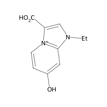 CCn1cc(C(=O)O)[n+]2ccc(O)cc12